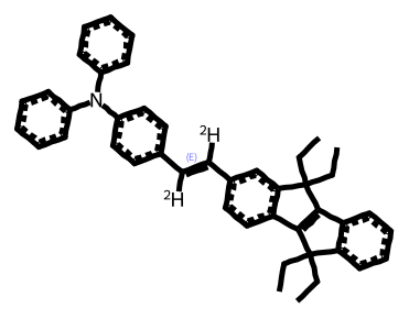 [2H]/C(=C(/[2H])c1ccc2c(c1)C(CC)(CC)C1=C2C(CC)(CC)c2ccccc21)c1ccc(N(c2ccccc2)c2ccccc2)cc1